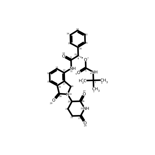 CC(C)(C)NC(=O)O[C@H](C(=O)Nc1cccc2c1CN(C1CCC(=O)NC1=O)C2=O)c1ccccc1